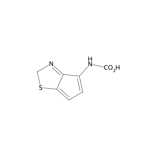 O=C(O)NC1=CC=C2SCN=C12